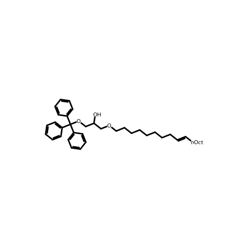 CCCCCCCCC=CCCCCCCCCOCC(O)COC(c1ccccc1)(c1ccccc1)c1ccccc1